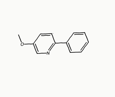 COc1c[c]c(-c2ccccc2)nc1